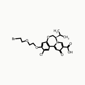 CC(C)[C@@H]1COc2cc(OCCOCCBr)c(Cl)cc2-c2cc(=O)c(C(=O)O)cn21